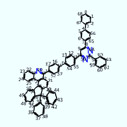 c1ccc(-c2ccc(-c3cc(-c4ccc(-c5ccc(-c6nc7ccccc7c7c8c(ccc67)C(c6ccccc6)(c6ccccc6)c6ccccc6-8)cc5)cc4)nc(-c4ccccc4)n3)cc2)cc1